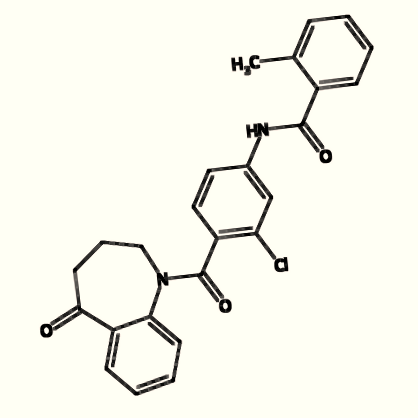 Cc1ccccc1C(=O)Nc1ccc(C(=O)N2CCCC(=O)c3ccccc32)c(Cl)c1